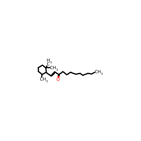 CCCCCCCCCC(=O)C=CC1C(C)CCCC1(C)C